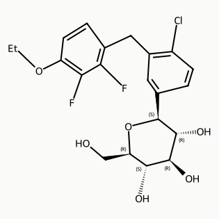 CCOc1ccc(Cc2cc([C@@H]3O[C@H](CO)[C@@H](O)[C@H](O)[C@H]3O)ccc2Cl)c(F)c1F